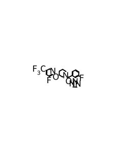 O=C(c1cccc(F)c1-n1nccn1)N1CCC[C@@H](Oc2ncc(C(F)(F)F)cc2F)C1